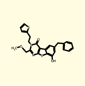 COCc1nc2sc3c(O)cc(Cc4ccccc4)cc3c2c(=O)n1CCc1cccs1